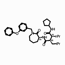 CCC[C@H](C(=O)NC1CCCC1)[C@@H](CC(C)C)C(=O)N[C@H]1CCCCN(Cc2cccc(Oc3ccccc3)c2)C1=O